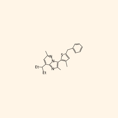 CCC(CC)c1cc(C)nn2c(-c3sc(Cc4ccccc4)cc3C)c(C)nc12